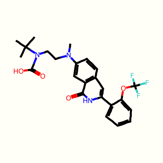 CN(CCN(C(=O)O)C(C)(C)C)c1ccc2cc(-c3ccccc3OC(F)(F)F)[nH]c(=O)c2c1